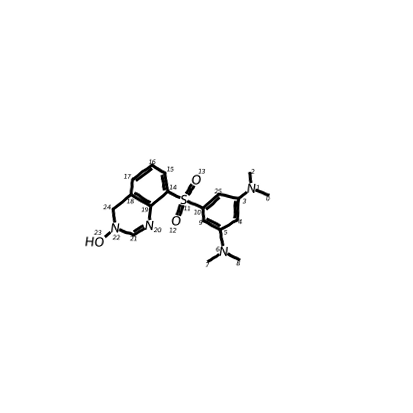 CN(C)c1cc(N(C)C)cc(S(=O)(=O)c2cccc3c2N=CN(O)C3)c1